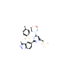 Cc1ccc(S(=O)(=O)c2c(-c3nc(CS(C)(=O)=O)cc(N4CCOCC4)n3)ccc3[nH]nc(C)c23)cc1